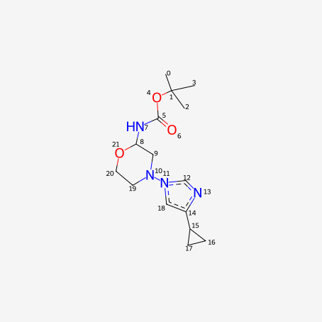 CC(C)(C)OC(=O)NC1CN(n2cnc(C3CC3)c2)CCO1